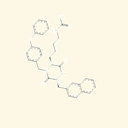 O=C(O)NCCCC[C@H]1C(=O)N[C@@H](Cc2ccc3ccccc3c2)C(=O)N1Cc1ccc(Oc2ccccc2)cc1